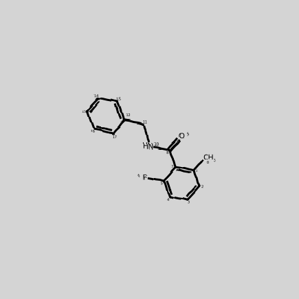 Cc1cccc(F)c1C(=O)NCc1ccccc1